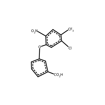 O=C(O)c1cccc(Oc2cc(Cl)c(C(F)(F)F)cc2[N+](=O)[O-])c1